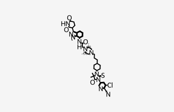 C[C@@H]1CN(CCCC2CCC(N3C(=S)N(c4cnc(C#N)c(Cl)c4)C(=O)C3(C)C)CC2)C[C@H](C)N1CC(=O)Nc1cccc2c(C3CCC(=O)NC3=O)nn(C)c12